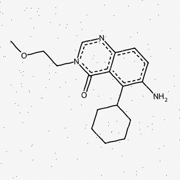 COCCn1cnc2ccc(N)c(C3CCCCC3)c2c1=O